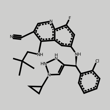 CC(C)(C)CNc1c(C#N)cnc2c(F)cc(N[C@H](C3=CN(C4CC4)NN3)c3ccccc3Cl)cc12